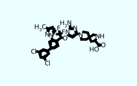 Cc1ccn(-c2cc(-c3cc(Cl)cc(Cl)c3)ccc2C(Oc2cc(N3CCC4(CC3)CNC(C(=O)O)C4)nc(N)n2)C(F)(F)F)n1